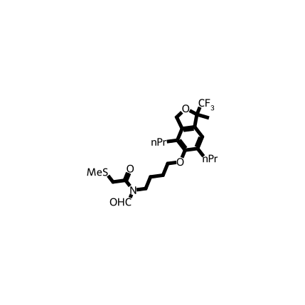 CCCc1cc2c(c(CCC)c1OCCCCN(C=O)C(=O)CSC)COC2(C)C(F)(F)F